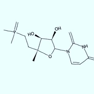 C=C1NC(=O)C=CN1C1O[C@](C)(CCP(=C)(C)C)[C@@H](O)[C@H]1O